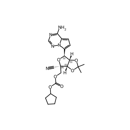 CC1(C)O[C@H]2[C@H](c3ccc4c(N)ncnn34)O[C@](C#N)(COC(=O)OC3CCCC3)[C@H]2O1